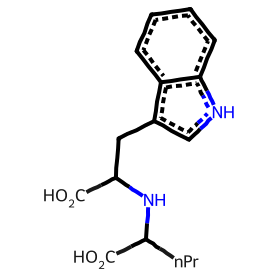 CCCC(NC(Cc1c[nH]c2ccccc12)C(=O)O)C(=O)O